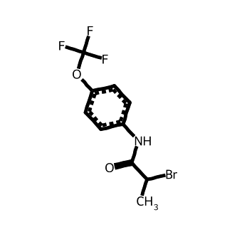 CC(Br)C(=O)Nc1ccc(OC(F)(F)F)cc1